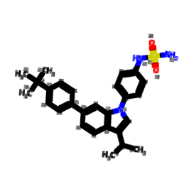 CC(C)c1cn(-c2ccc(NS(N)(=O)=O)cc2)c2cc(-c3ccc(C(C)(C)C)cc3)ccc12